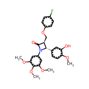 COc1ccc([C@H]2[C@H](COc3ccc(F)cc3)C(=O)N2c2cc(OC)c(OC)c(OC)c2)cc1O